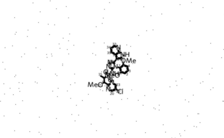 COc1cccc(OC)c1-n1c(NS(=O)(=O)C(C)C(OC)c2ncc(Cl)cn2)nnc1-c1c[nH]c2ncccc12